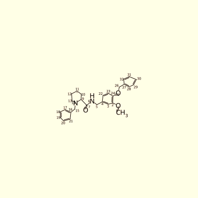 COc1cc(CNC(=O)C2C[CH]CCN2Cc2ccccc2)ccc1OCc1ccccc1